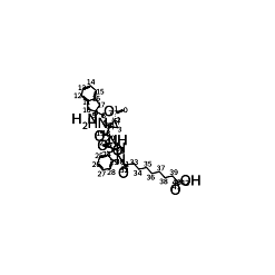 C=C[C@@H]1C[C@]1(NC(=O)C1(N)Cc2ccccc2C1)C(=O)NS(=O)(=O)c1ccccc1NC(=O)CCCCCCCC(=O)O